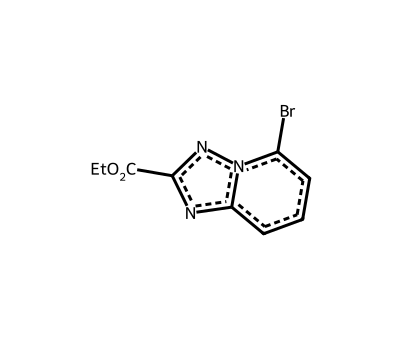 CCOC(=O)c1nc2cccc(Br)n2n1